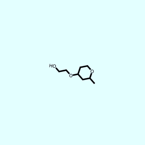 CC1CC(OCCO)CCO1